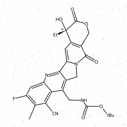 CC[C@@]1(O)C(=O)OCc2c1cc1n(c2=O)Cc2c-1nc1cc(F)c(C)c(C#N)c1c2CNC(=O)OC(C)(C)C